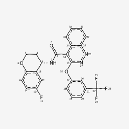 O=C(N[C@H]1CCOc2ccc(F)cc21)c1c(Oc2cccc(C(F)(F)F)c2)nnc2ccccc12